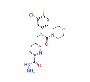 NNC(=O)c1ccc(CN(C(=O)N2CCOCC2)c2ccc(F)c(Cl)c2)cn1